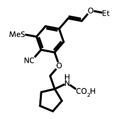 CCOC=Cc1cc(OCC2(NC(=O)O)CCCC2)c(C#N)c(SC)c1